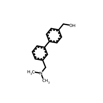 CN(C)Cc1cccc(-c2ccc(CO)cc2)c1